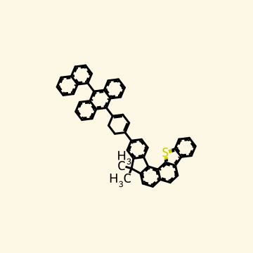 CC1(C)c2cc(C3=CC=C(c4c5ccccc5c(-c5cccc6ccccc56)c5ccccc45)CC3)ccc2-c2c1ccc1ccc3c4ccccc4sc3c21